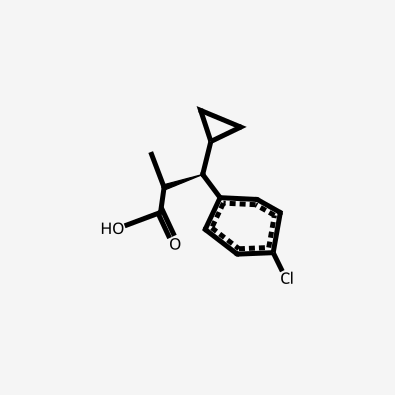 CC(C(=O)O)[C@H](c1ccc(Cl)cc1)C1CC1